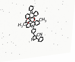 Cc1ccc2c(c1)C1(c3cc(C)ccc3N2c2ccc(-c3cncc(-c4ccccc4)c3C#N)cc2)c2ccccc2C2(c3ccccc3N(c3ccccc3)c3ccccc32)c2ccccc21